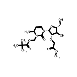 COC(=O)CO[C@H]1C(O)[C@@H](CO)O[C@H]1N1C=CC(N)N(COC(=O)C(C)(C)C)C1=O